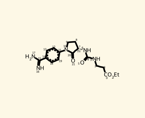 CCOC(=O)CCNC(=O)N[C@H]1CCN(c2ccc(C(=N)N)cc2)C1=O